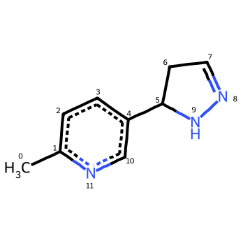 Cc1ccc(C2CC=NN2)cn1